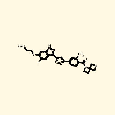 COCCOc1cc2[nH]nc(-c3cc(-c4ccc(C(=O)N5CCC56COC6)c(C)c4)no3)c2cc1F